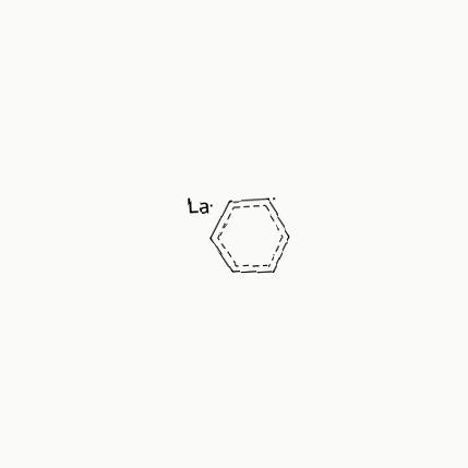 [La].[c]1ccccc1